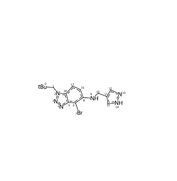 CC(C)(C)Cn1nnc2c(Br)c(NCc3cn[nH]c3)ccc21